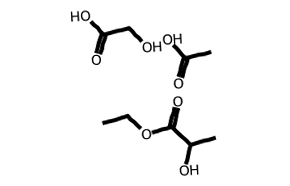 CC(=O)O.CCOC(=O)C(C)O.O=C(O)CO